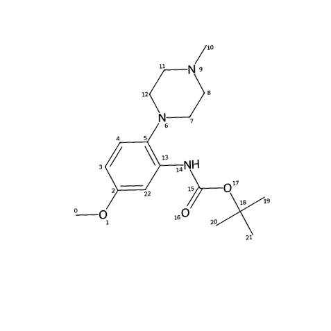 COc1ccc(N2CCN(C)CC2)c(NC(=O)OC(C)(C)C)c1